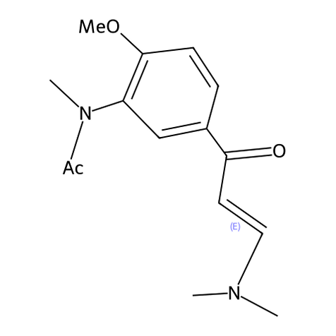 COc1ccc(C(=O)/C=C/N(C)C)cc1N(C)C(C)=O